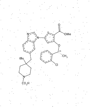 COC(=O)c1sc(-n2cnc3ccc(CC4(C(C)(C)C)CCN(C(=O)O)CC4)cc32)cc1O[C@H](C)c1ccccc1Cl